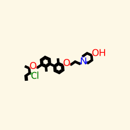 C=CC(Cl)C(C)OCc1cccc(-c2cccc(OCCCN3CCC(O)CC3)c2C)c1C